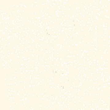 CCc1c(-c2ccc3[nH]c(CN4CCCC4)cc3c2)[nH]c(=O)c(C(=O)O)c1O